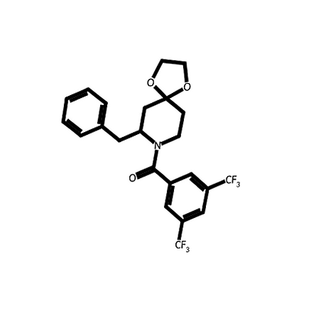 O=C(c1cc(C(F)(F)F)cc(C(F)(F)F)c1)N1CCC2(CC1Cc1ccccc1)OCCO2